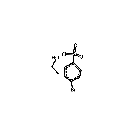 CCO.O=S(=O)(Cl)c1ccc(Br)cc1